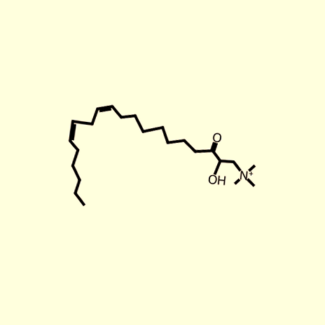 CCCCC/C=C\C/C=C\CCCCCCCC(=O)C(O)C[N+](C)(C)C